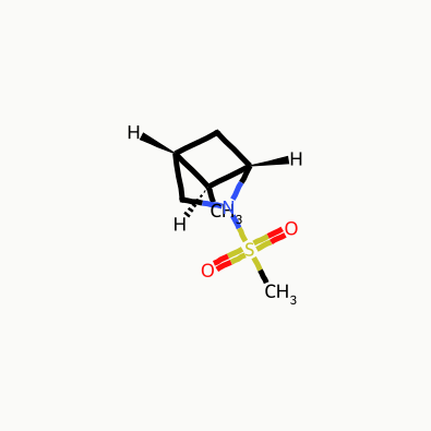 C[C@H]1[C@H]2C[C@@H]1N(S(C)(=O)=O)C2